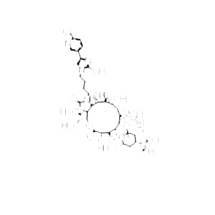 C=C[C@]12OC(=O)N(CCCCn3cc(-c4ccc(Cl)nc4)nc3C)[C@@H]1[C@@H](C)C(=O)[C@H](C)C[C@](C)(OC)[C@H](OC1O[C@H](C)C[C@H](N(C)C)[C@H]1O)[C@@H](C)C(=O)[C@@H](C)C(=O)O[C@@H]2CC